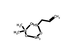 C=CC[SiH]1O[SiH2]O[Si](C)(C)O1